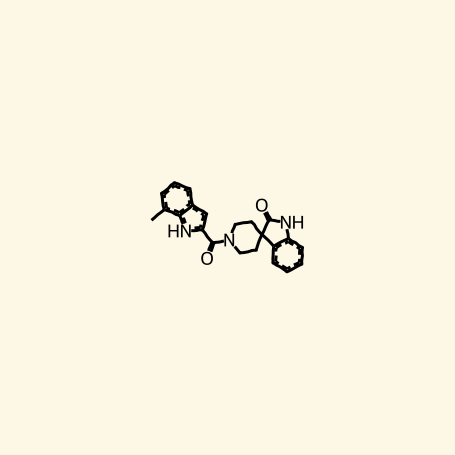 Cc1cccc2cc(C(=O)N3CCC4(CC3)C(=O)Nc3ccccc34)[nH]c12